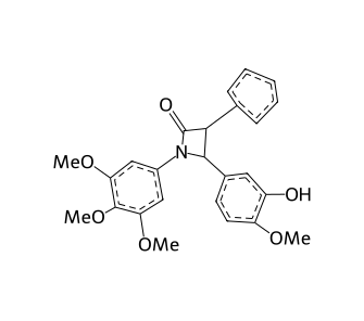 COc1ccc(C2C(c3ccccc3)C(=O)N2c2cc(OC)c(OC)c(OC)c2)cc1O